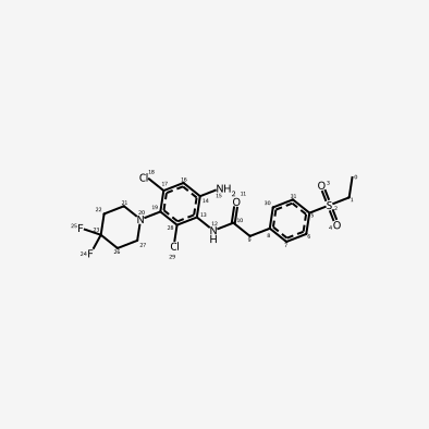 CCS(=O)(=O)c1ccc(CC(=O)Nc2c(N)cc(Cl)c(N3CCC(F)(F)CC3)c2Cl)cc1